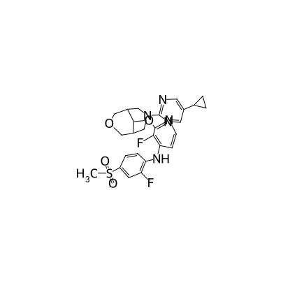 CS(=O)(=O)c1ccc(Nc2ccnc(OC3C4COCC3CN(c3ncc(C5CC5)cn3)C4)c2F)c(F)c1